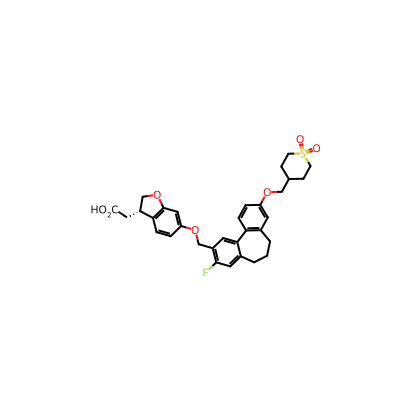 O=C(O)C[C@@H]1COc2cc(OCc3cc4c(cc3F)CCCc3cc(OCC5CCS(=O)(=O)CC5)ccc3-4)ccc21